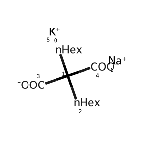 CCCCCCC(CCCCCC)(C(=O)[O-])C(=O)[O-].[K+].[Na+]